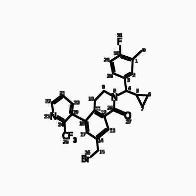 Cc1cc(C(C2CC2)N2CCc3c(cc(CBr)cc3-c3cccnc3C(F)(F)F)C2=O)ccc1F